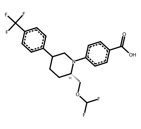 O=C(O)c1ccc(N2CC(c3ccc(C(F)(F)F)cc3)CC[C@H]2COC(F)F)cc1